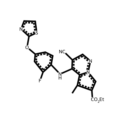 CCOC(=O)c1cn2ncc(C#N)c(Nc3ccc(Oc4nccs4)cc3F)c2c1C